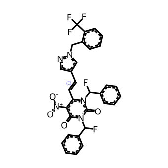 O=c1c([N+](=O)[O-])c(/C=C/c2cnn(Cc3ccccc3C(F)(F)F)c2)n(C(F)c2ccccc2)c(=O)n1C(F)c1ccccc1